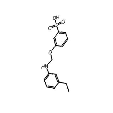 CCc1cccc(NCOc2cccc(S(=O)(=O)O)c2)c1